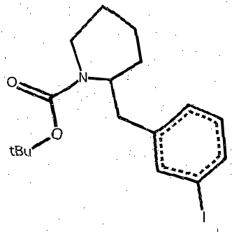 CC(C)(C)OC(=O)N1CCCCC1Cc1cccc(I)c1